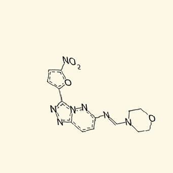 O=[N+]([O-])c1ccc(-c2nnc3ccc(N=CN4CCOCC4)nn23)o1